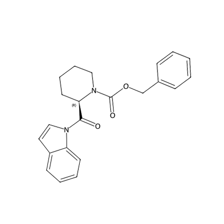 O=C(OCc1ccccc1)N1CCCC[C@@H]1C(=O)n1ccc2ccccc21